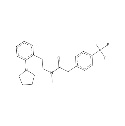 CN(CCc1ccccc1N1CCCC1)C(=O)Cc1ccc(C(F)(F)F)cc1